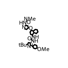 CNC(=O)Nc1cc(Oc2ccc(NC(=O)Nc3cc(C(C)(C)C)nn3-c3ccc(OC)cc3)c3ccccc23)ccn1